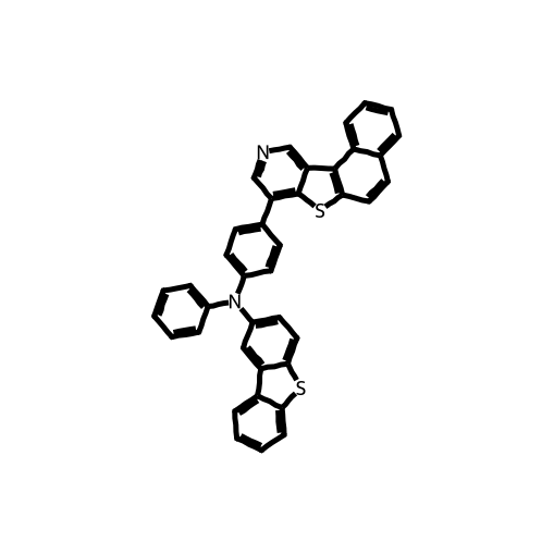 c1ccc(N(c2ccc(-c3cncc4c3sc3ccc5ccccc5c34)cc2)c2ccc3sc4ccccc4c3c2)cc1